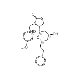 COc1ccc(CN2C(=O)SCC2[C@@]2(O)C[C@@H](O)C[C@@H](CCc3ccccc3)O2)cc1